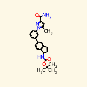 Cc1cc(C(N)=O)nn1-c1cccc(-c2ccc3c(c2)C=CC3NC(=O)OC(C)(C)C)c1